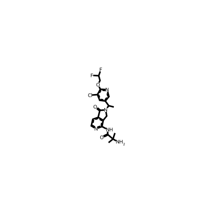 CC(c1cnc(OCC(F)F)c(Cl)c1)N1Cc2c(ccnc2NC(=O)C(C)(C)N)C1=O